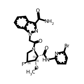 CO[C@H]1[C@@H](C(=O)Nc2cccc(Br)n2)N(C(=O)Cn2nc(C(N)=O)c3ccccc32)C[C@@H]1F